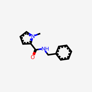 Cn1cccc1C(=O)NCc1ccccc1